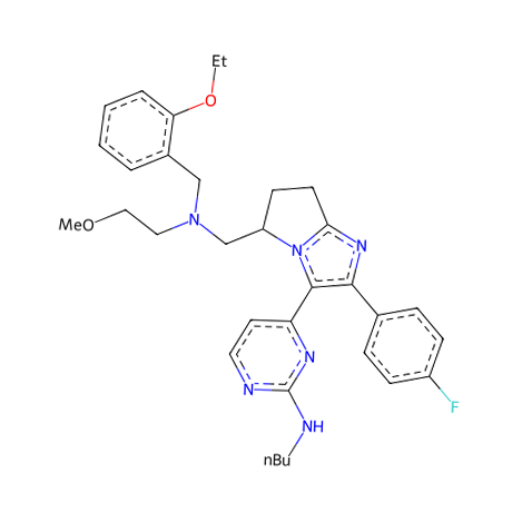 CCCCNc1nccc(-c2c(-c3ccc(F)cc3)nc3n2C(CN(CCOC)Cc2ccccc2OCC)CC3)n1